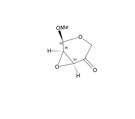 CO[C@H]1OCC(=O)[C@H]2O[C@@H]12